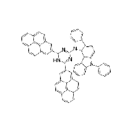 C1=C2c3ccccc3N(C3=NC(c4cc5ccc6cccc7ccc(c4)c5c67)NC(c4cc5ccc6cccc7ccc(c4)c5c67)=N3)C2C2C(=C1)N(c1ccccc1)c1ccccc12